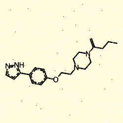 C=C(CCC)N1CCN(CCOc2ccc(-c3ccn[nH]3)cc2)CC1